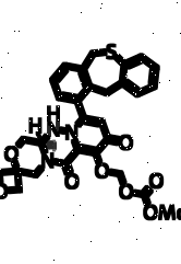 COC(=O)OCOc1c2n(c(-c3cccc4c3Cc3ccccc3SC4)cc1=O)N[C@@H]1COC3(COC3)CN1C2=O